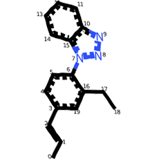 C/C=C/c1ccc(-n2nnc3ccccc32)c(CC)c1